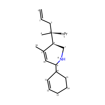 C=CC[C@](C)(CCC)[C@H]1CNC(C2C=CCCC2)C=C1C